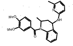 COc1ccc(C(=O)N2c3ccccc3C(Nc3cccc(C)n3)CC2C)cc1OC